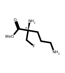 COC(=O)[C@@](N)(CF)CCCN